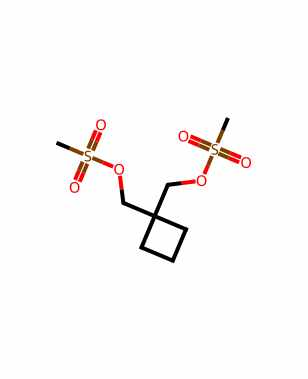 CS(=O)(=O)OCC1(COS(C)(=O)=O)CCC1